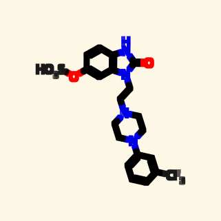 O=c1[nH]c2ccc(OS(=O)(=O)O)cc2n1CCN1CCN(c2cccc(C(F)(F)F)c2)CC1